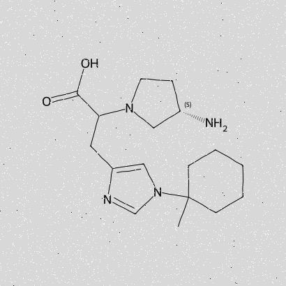 CC1(n2cnc(CC(C(=O)O)N3CC[C@H](N)C3)c2)CCCCC1